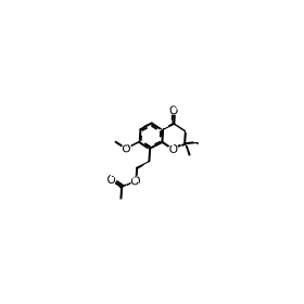 COc1ccc2c(c1CCOC(C)=O)OC(C)(C)CC2=O